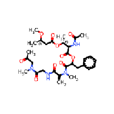 C=C(C(=O)NCC(=O)N(C)CC(C)=O)N(C)C(=O)C(Cc1ccccc1)OC(=O)C(NC(C)=O)[C@@H](C)OC(=O)C[C@@H](C)OC